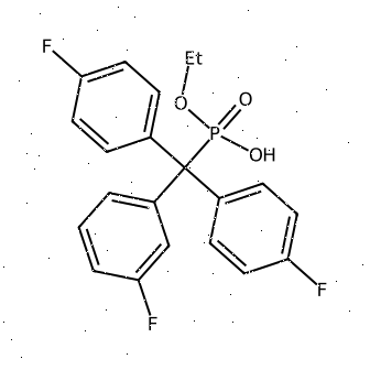 CCOP(=O)(O)C(c1ccc(F)cc1)(c1ccc(F)cc1)c1cccc(F)c1